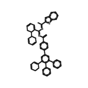 C=C(/N=C(\N=C(/C)c1cc2ccccc2s1)C1=CC=CCC1C1C=CC=CC1)c1ccc(-c2cc(C3=CC=CCC3)c(-c3ccccc3)c(-c3ccccc3)c2)cc1